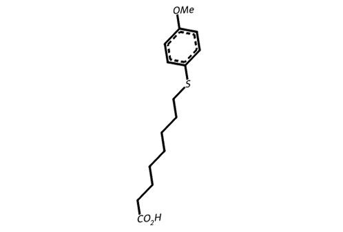 COc1ccc(SCCCCCCCC(=O)O)cc1